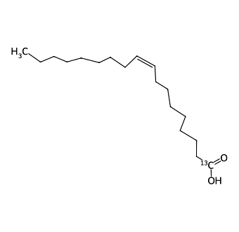 CCCCCCCC/C=C\CCCCCCC[13C](=O)O